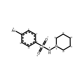 CC(=O)c1ccc(S(=O)(=O)NN2CCCCC2)cc1